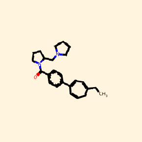 CCC1=CC=C(c2ccc(C(=O)N3CCCC3CN3CCCC3)cc2)C=CC1